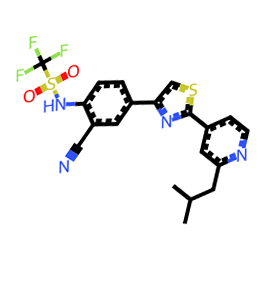 CC(C)Cc1cc(-c2nc(-c3ccc(NS(=O)(=O)C(F)(F)F)c(C#N)c3)cs2)ccn1